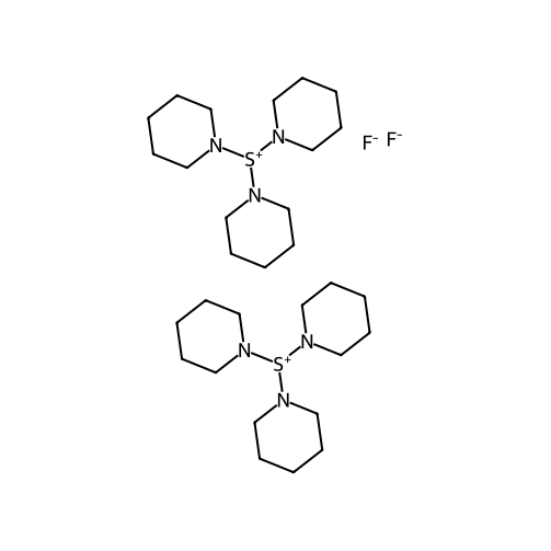 C1CCN([S+](N2CCCCC2)N2CCCCC2)CC1.C1CCN([S+](N2CCCCC2)N2CCCCC2)CC1.[F-].[F-]